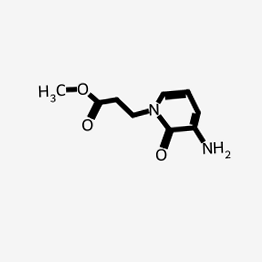 COC(=O)CCn1cccc(N)c1=O